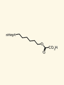 CCCCCCCCCCCCCOC(=O)C(=O)O